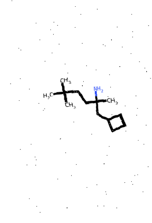 CC(C)(C)CCC(C)(N)CC1CCC1